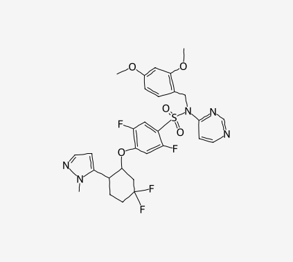 COc1ccc(CN(c2ccncn2)S(=O)(=O)c2cc(F)c(OC3CC(F)(F)CCC3c3ccnn3C)cc2F)c(OC)c1